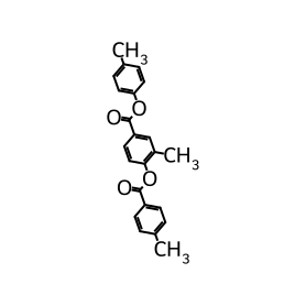 Cc1ccc(OC(=O)c2ccc(OC(=O)c3ccc(C)cc3)c(C)c2)cc1